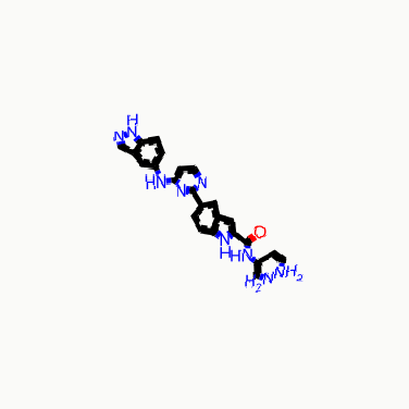 N/C=C\C(=C/N)NC(=O)c1cc2cc(-c3nccc(Nc4ccc5[nH]ncc5c4)n3)ccc2[nH]1